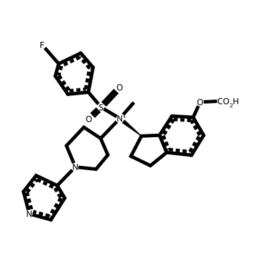 C[N+](C1CCN(c2ccncc2)CC1)([C@@H]1CCc2ccc(OC(=O)O)cc21)S(=O)(=O)c1ccc(F)cc1